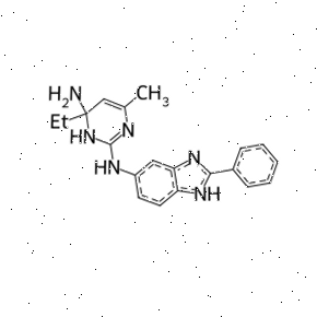 CCC1(N)C=C(C)N=C(Nc2ccc3[nH]c(-c4ccccc4)nc3c2)N1